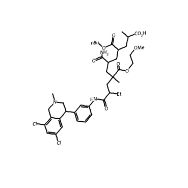 CCCCOC(=O)C(CC(C)C(=O)O)CC(CC(C)(CC(CC)C(=O)Nc1cccc(C2CN(C)Cc3c(Cl)cc(Cl)cc32)c1)C(=O)OCCOC)C(N)=O